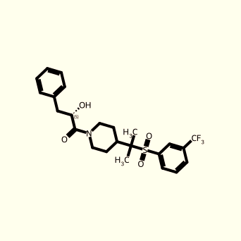 CC(C)(C1CCN(C(=O)[C@@H](O)Cc2ccccc2)CC1)S(=O)(=O)c1cccc(C(F)(F)F)c1